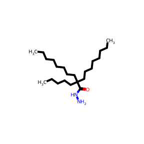 CCCCCCCCC(CCCCC)(CCCCCCCC)C(=O)NN